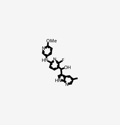 COc1ccc(Nc2ccc(C(O)c3c[nH]c4ncc(C)cc34)c(F)n2)cn1